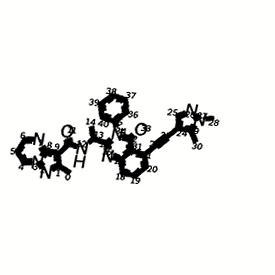 Cc1nn2cccnc2c1C(=O)NC(C)c1nc2cccc(C#Cc3cnn(C)c3C)c2c(=O)n1-c1ccccc1